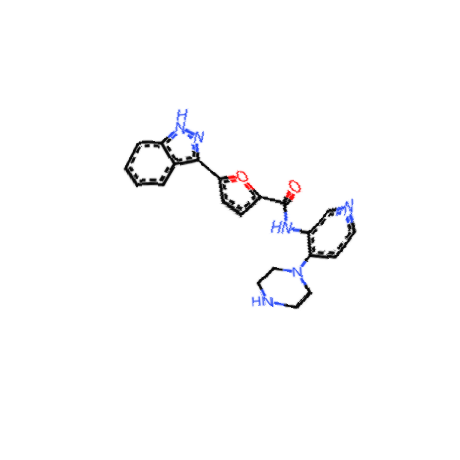 O=C(Nc1cnccc1N1CCNCC1)c1ccc(-c2n[nH]c3ccccc23)o1